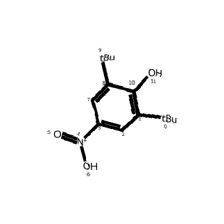 CC(C)(C)c1cc([N+](=O)O)cc(C(C)(C)C)c1O